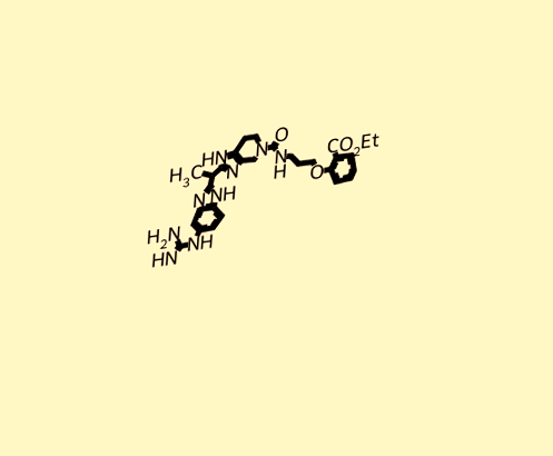 CCOC(=O)c1ccccc1OCCCNC(=O)N1CCc2[nH]c(C(C)c3nc4cc(NC(=N)N)ccc4[nH]3)nc2C1